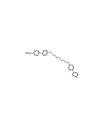 COc1ccc(-c2ccc(OCCCCCCCC[n+]3ccc(-c4ccncc4)cc3)cc2)cc1